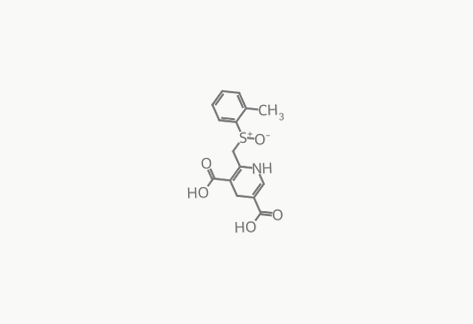 Cc1ccccc1[S+]([O-])CC1=C(C(=O)O)CC(C(=O)O)=CN1